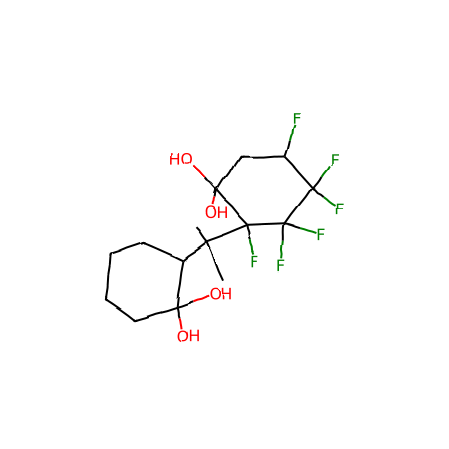 CC(C)(C1CCCCC1(O)O)C1(F)C(O)(O)CC(F)C(F)(F)C1(F)F